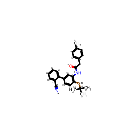 Cc1ccc(CC(=O)Nc2cc(-c3ccccc3C#N)ccc2SC(C)(C)C)cc1